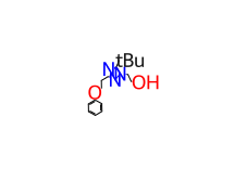 CC(C)(C)c1nc(CCOc2ccccc2)nn1CCO